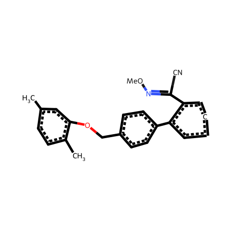 CON=C(C#N)c1ccccc1-c1ccc(COc2cc(C)ccc2C)cc1